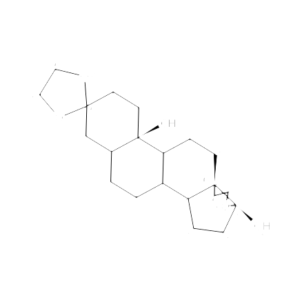 C[C@]12CCC3(CC1CCC1C2CC[C@]24CCO[C@@]2(O)CCC14)OCCO3